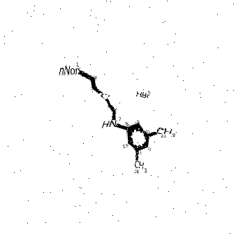 Br.CCCCCCCCCCCCCCNc1cc(C)cc(C)c1